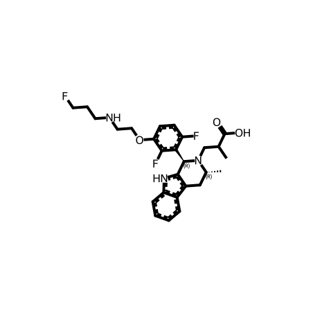 CC(CN1[C@H](c2c(F)ccc(OCCNCCCF)c2F)c2[nH]c3ccccc3c2C[C@H]1C)C(=O)O